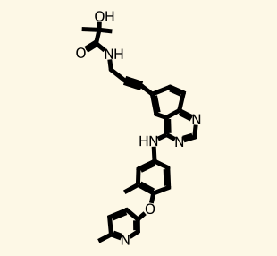 Cc1ccc(Oc2ccc(Nc3ncnc4ccc(C#CCNC(=O)C(C)(C)O)cc34)cc2C)cn1